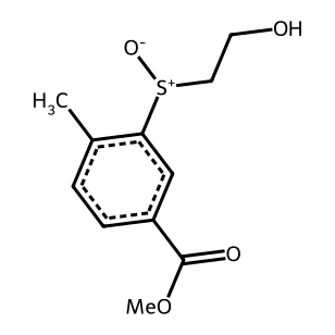 COC(=O)c1ccc(C)c([S+]([O-])CCO)c1